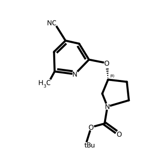 Cc1cc(C#N)cc(O[C@@H]2CCN(C(=O)OC(C)(C)C)C2)n1